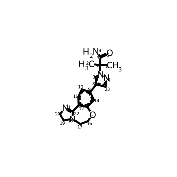 CC(C)(C(N)=O)n1cc(-c2ccc3c(c2)OCCN2CCN=C32)cn1